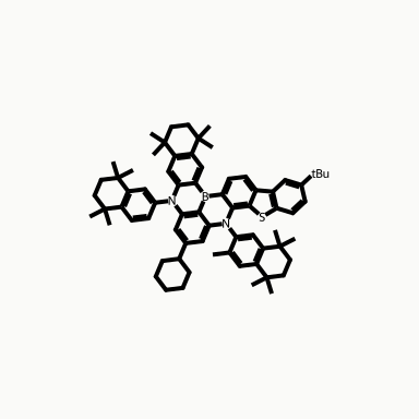 Cc1cc2c(cc1N1c3cc(C4CCCCC4)cc4c3B(c3cc5c(cc3N4c3ccc4c(c3)C(C)(C)CCC4(C)C)C(C)(C)CCC5(C)C)c3ccc4c(sc5ccc(C(C)(C)C)cc54)c31)C(C)(C)CCC2(C)C